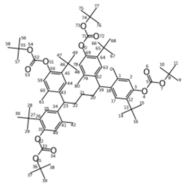 Cc1cc(OC(=O)OC(C)(C)C)c(C(C)(C)C)cc1C(CCCC(c1cc(C(C)(C)C)c(OC(=O)OC(C)(C)C)cc1C)c1cc(C(C)(C)C)c(OC(=O)OC(C)(C)C)cc1C)c1cc(C(C)(C)C)c(OC(=O)OC(C)(C)C)cc1C